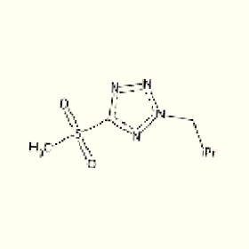 CC(C)Cn1nnc(S(C)(=O)=O)n1